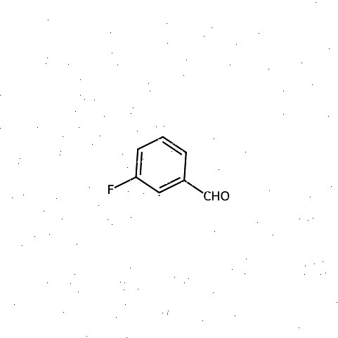 O=Cc1[c]c(F)ccc1